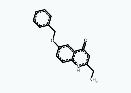 NCc1cc(=O)c2cc(OCc3ccccc3)ccc2[nH]1